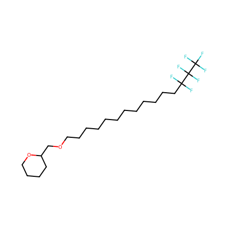 FC(F)(F)C(F)(F)C(F)(F)CCCCCCCCCCCCOCC1CCCCO1